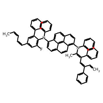 C=C/C(=C\C(=C(/C)N(c1ccccc1)c1ccc2ccc3c(N(c4ccccc4)c4c(F)cc(/C=C\C=C/C)cc4-c4ccccc4)ccc4ccc1c2c43)c1ccccc1)c1ccccc1